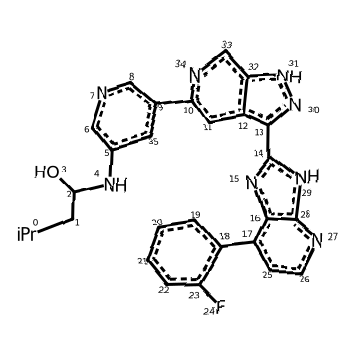 CC(C)CC(O)Nc1cncc(-c2cc3c(-c4nc5c(-c6ccccc6F)ccnc5[nH]4)n[nH]c3cn2)c1